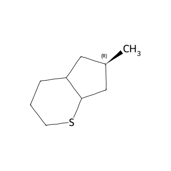 C[C@@H]1CC2CCCSC2C1